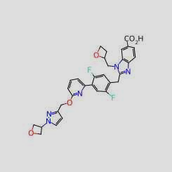 O=C(O)c1ccc2nc(Cc3cc(F)c(-c4cccc(OCc5ccn(C6COC6)n5)n4)cc3F)n(CC3CCO3)c2c1